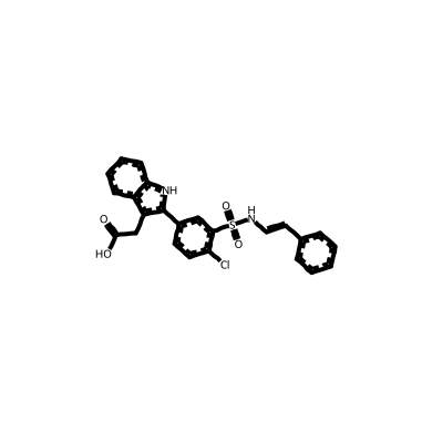 O=C(O)Cc1c(-c2ccc(Cl)c(S(=O)(=O)NC=Cc3ccccc3)c2)[nH]c2ccccc12